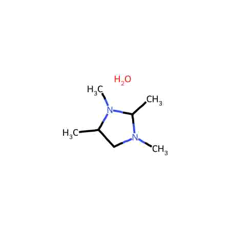 CC1CN(C)C(C)N1C.O